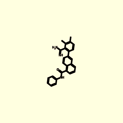 Cc1ccc(-c2ccc3c(C(=O)Nc4ccccc4)cccc3c2)c(C(=N)N)c1C